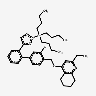 CCC[CH2][Sn]([CH2]CCC)([CH2]CCC)[n]1nnc(-c2ccccc2-c2ccc(COc3cc(CC)nc4c3CCCC4)c(Cl)c2)n1